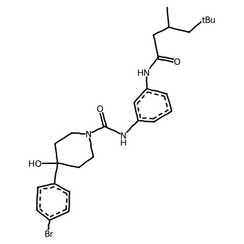 CC(CC(=O)Nc1cccc(NC(=O)N2CCC(O)(c3ccc(Br)cc3)CC2)c1)CC(C)(C)C